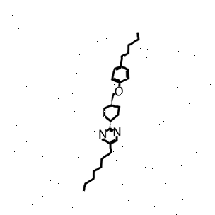 CCCCCCCc1cnc([C@H]2CC[C@H](COc3ccc(CCCCC)cc3)CC2)nc1